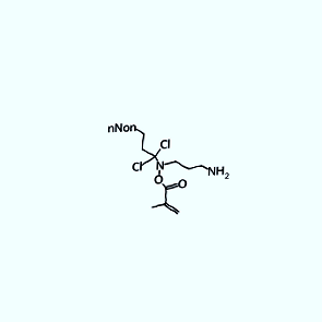 C=C(C)C(=O)ON(CCCN)C(Cl)(Cl)CCCCCCCCCCC